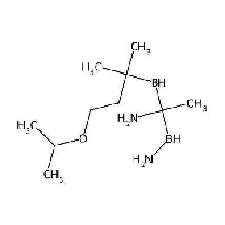 CC(C)OCCC(C)(C)BC(C)(N)BN